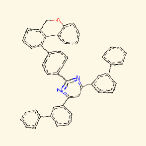 c1ccc(-c2cccc(-c3cc(-c4cccc(-c5ccccc5)c4)nc(-c4ccc(-c5cccc6c5-c5ccccc5OC6)cc4)n3)c2)cc1